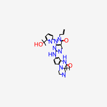 C=CCn1c(=O)c2cnc(Nc3ccc4c(c3)NC(=O)[C@@H]3CN(C)CCN43)nc2n1-c1cccc(C(C)(C)O)n1